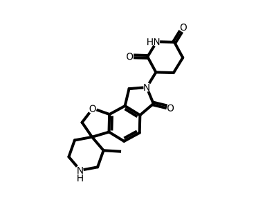 CC1CNCCC12COc1c2ccc2c1CN(C1CCC(=O)NC1=O)C2=O